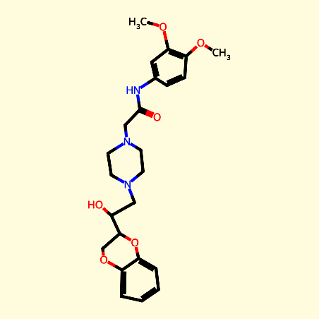 COc1ccc(NC(=O)CN2CCN(CC(O)C3COc4ccccc4O3)CC2)cc1OC